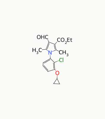 CCOC(=O)c1c(C=O)c(C)n(-c2cccc(OC3CC3)c2Cl)c1C